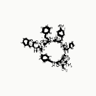 Bc1ccc(C[C@H]2NC(=O)[C@H](Cc3cccs3)NC(=O)[C@H](OC(C)=O)[C@@H](OC(C)=O)C(=O)Nc3ccc(cc3)C[C@@H](C(=O)N[C@@H](Cc3ccccc3)C(=O)O)NC(=O)[C@H](CCc3ccccc3)NC2=O)cc1